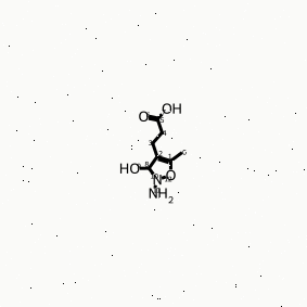 CC1=C(CCC(=O)O)C(O)N(N)O1